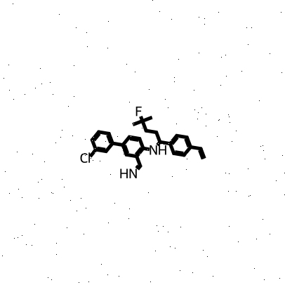 C=Cc1ccc(C(CCC(C)(C)F)Nc2ccc(-c3cccc(Cl)c3)cc2C=N)cc1